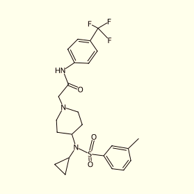 Cc1cccc(S(=O)(=O)N(C2CC2)C2CCN(CC(=O)Nc3ccc(C(F)(F)F)cc3)CC2)c1